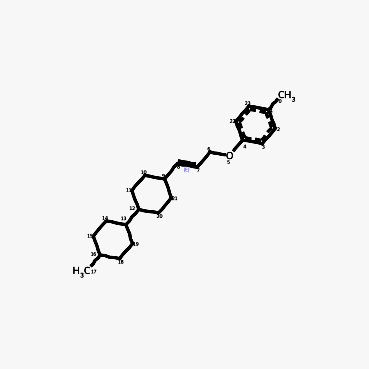 Cc1ccc(OC/C=C/C2CCC(C3CCC(C)CC3)CC2)cc1